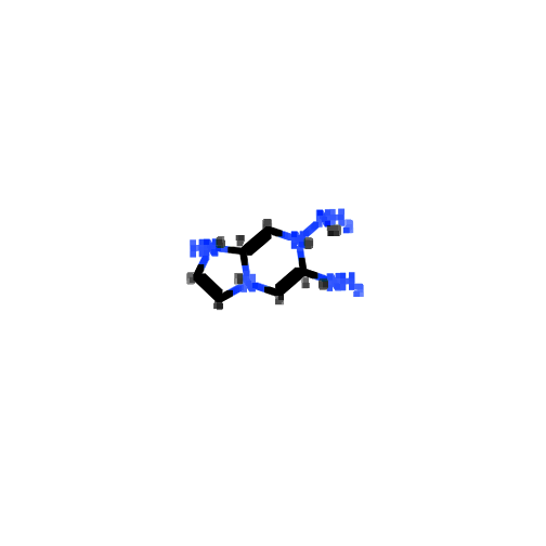 NC1=CN2C=CNC2=CN1N